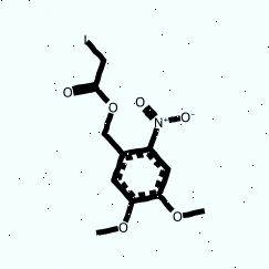 COc1cc(COC(=O)CI)c([N+](=O)[O-])cc1OC